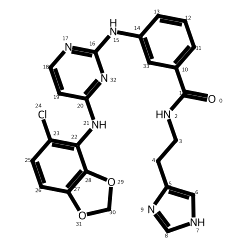 O=C(NCCc1c[nH]cn1)c1cccc(Nc2nccc(Nc3c(Cl)ccc4c3OCO4)n2)c1